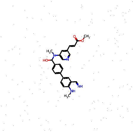 CNc1ccc(-c2ccc(C(O)N(C)c3cncc(/C=C/C(=O)OC)c3)cc2)cc1C=N